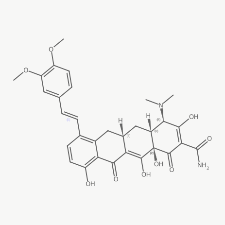 COc1ccc(/C=C/c2ccc(O)c3c2C[C@@H]2C[C@@H]4[C@@H](N(C)C)C(O)=C(C(N)=O)C(=O)[C@]4(O)C(O)=C2C3=O)cc1OC